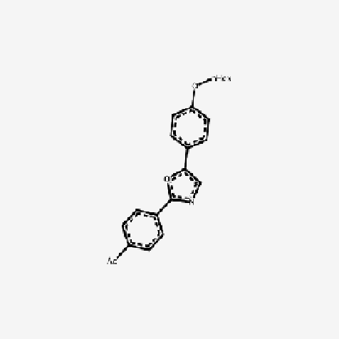 CCCCCCOc1ccc(-c2cnc(-c3ccc(C(C)=O)cc3)o2)cc1